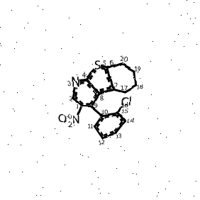 O=[N+]([O-])c1cnc2sc3c(c2c1-c1ccccc1Cl)CCCC3